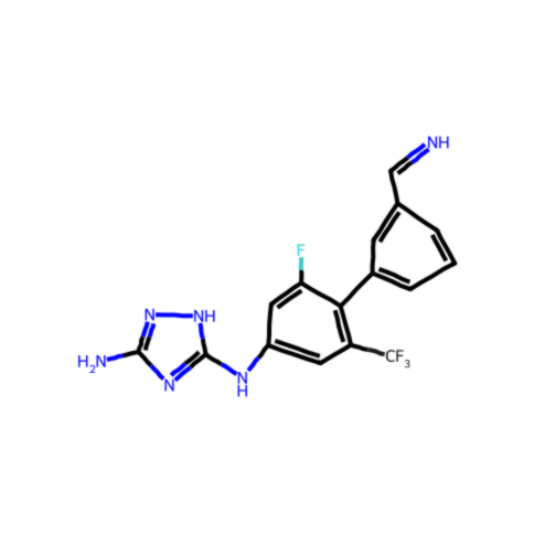 N=Cc1cccc(-c2c(F)cc(Nc3nc(N)n[nH]3)cc2C(F)(F)F)c1